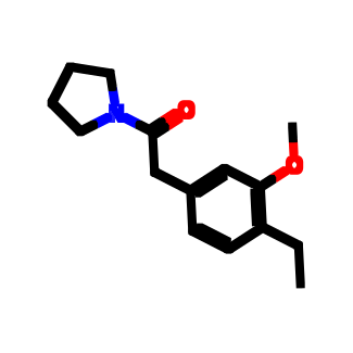 CCc1ccc(CC(=O)N2CCCC2)cc1OC